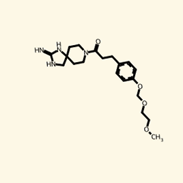 COCCOCOc1ccc(CCC(=O)N2CCC3(CC2)CNC(=N)N3)cc1